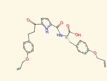 C=CCOc1ccc(CCC(=O)c2ccc(C(=O)N[C@@H](Cc3ccc(OCC=C)cc3)C(=O)O)[nH]2)cc1